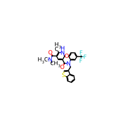 Cc1[nH]c(=O)c(C(=O)N(Cc2csc3ccccc23)c2cccc(C(F)(F)F)c2)cc1C(=O)N(C)C